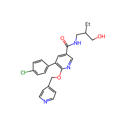 CCC(CO)CNC(=O)c1cnc(OCc2ccncc2)c(-c2ccc(Cl)cc2)c1